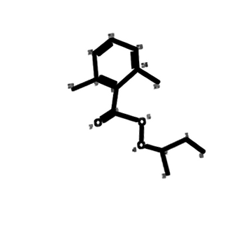 CC[C](C)OOC(=O)c1c(C)cccc1C